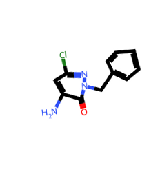 Nc1cc(Cl)nn(Cc2ccccc2)c1=O